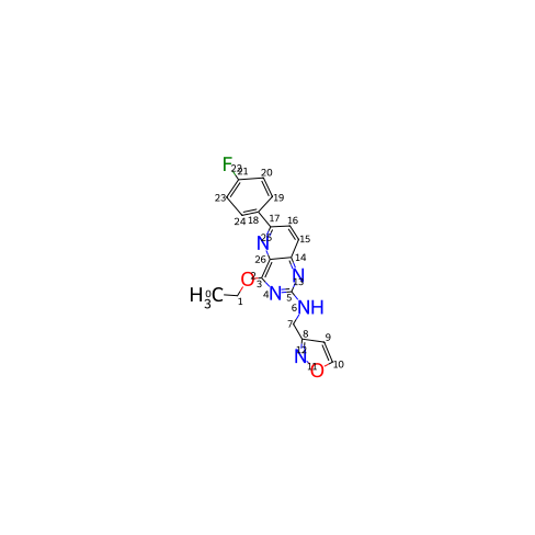 CCOc1nc(NCc2ccon2)nc2ccc(-c3ccc(F)cc3)nc12